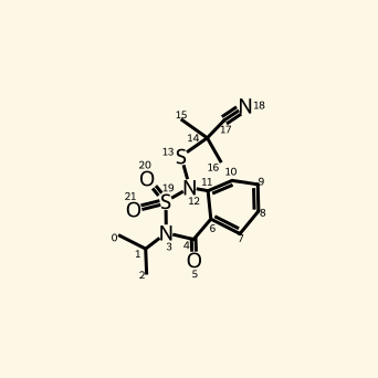 CC(C)N1C(=O)c2ccccc2N(SC(C)(C)C#N)S1(=O)=O